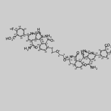 NC(=O)c1c(CCOCCOCCc2cccc(-c3n[nH]c4nc(-c5ccc(F)c(C(=O)O)c5)cc(C(N)=O)c34)c2C(N)=O)cccc1-c1n[nH]c2nc(-c3ccc(F)c(C(=O)O)c3)cc(C(N)=O)c12